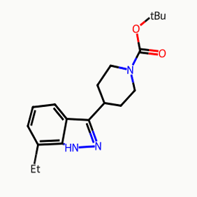 CCc1cccc2c(C3CCN(C(=O)OC(C)(C)C)CC3)n[nH]c12